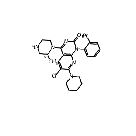 CC(C)c1ccccc1-n1c(=O)nc(N2CCNC[C@@H]2C)c2cc(Cl)c(N3CCCCC3)nc21